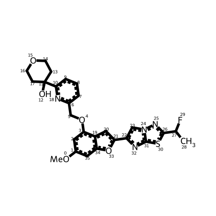 COc1cc(OCc2cccc(C3(O)CCOCC3)n2)c2cc(-c3cn4nc(C(C)F)sc4n3)oc2c1